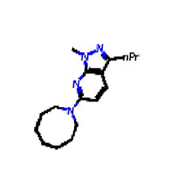 CCCc1nn(C)c2nc(N3CCCCCCC3)ccc12